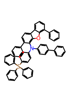 c1ccc(-c2ccc(N(c3ccc(S(c4ccccc4)(c4ccccc4)c4ccccc4)cc3)c3c(-c4ccccc4)ccc4c3oc3c(-c5ccccc5)cccc34)cc2)cc1